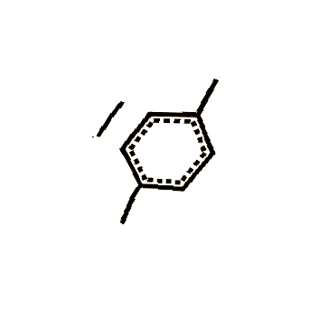 Cc1ccc(C)cc1.[CH2]C